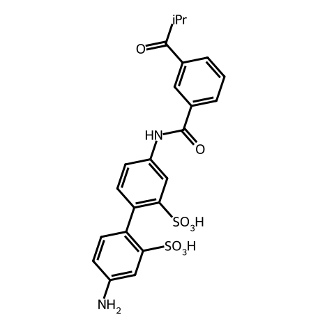 CC(C)C(=O)c1cccc(C(=O)Nc2ccc(-c3ccc(N)cc3S(=O)(=O)O)c(S(=O)(=O)O)c2)c1